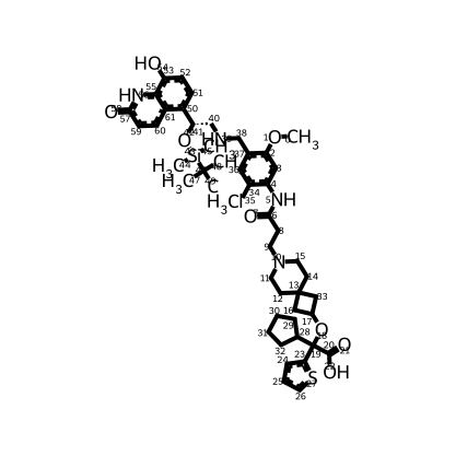 COc1cc(NC(=O)CCN2CCC3(CC2)CC(OC(C(=O)O)(c2cccs2)C2CCCC2)C3)c(Cl)cc1CNC[C@H](O[Si](C)(C)C(C)(C)C)c1ccc(O)c2[nH]c(=O)ccc12